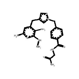 NNc1nc(N)cc(Cc2cnn(Cc3ccc(C(=O)NCC(N)=O)cc3)c2)c1N